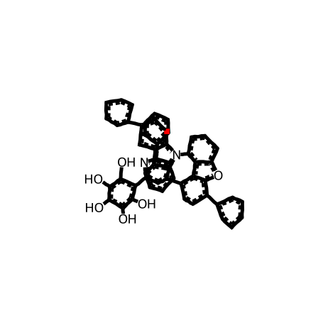 Oc1c(O)c(O)c(-c2cc(-c3ccc(-c4ccccc4)c4oc5cccc(-n6c7ccccc7c7cc(-c8ccccc8)ccc76)c5c34)cc(-c3ccccc3)n2)c(O)c1O